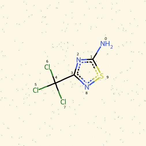 Nc1nc(C(Cl)(Cl)Cl)ns1